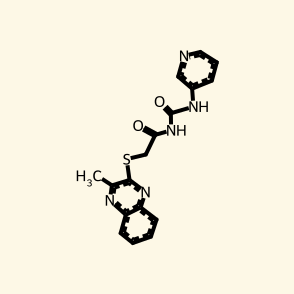 Cc1nc2ccccc2nc1SCC(=O)NC(=O)Nc1cccnc1